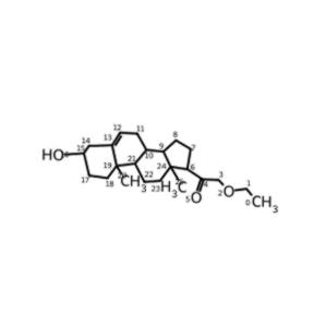 CCOCC(=O)C1CCC2C3CC=C4CC(O)CCC4(C)C3CCC12C